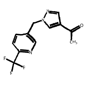 CC(=O)c1cnn(Cc2ccc(C(F)(F)F)nc2)c1